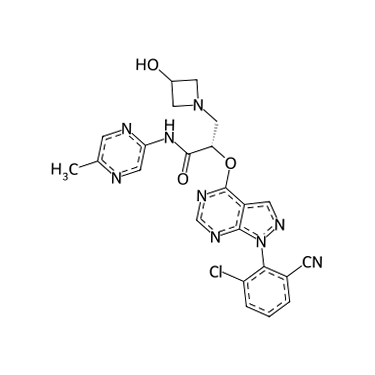 Cc1cnc(NC(=O)[C@H](CN2CC(O)C2)Oc2ncnc3c2cnn3-c2c(Cl)cccc2C#N)cn1